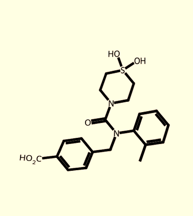 Cc1ccccc1N(Cc1ccc(C(=O)O)cc1)C(=O)N1CCS(O)(O)CC1